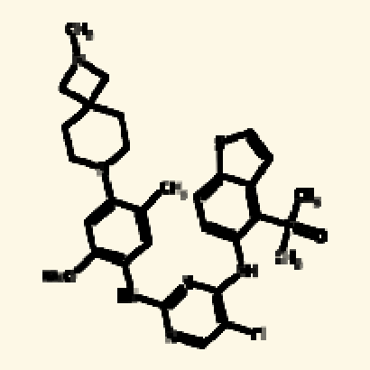 COc1cc(N2CCC3(CC2)CN(C)C3)c(C)cc1Nc1ncc(Cl)c(Nc2ccc3sccc3c2P(C)(C)=O)n1